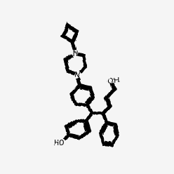 OCCCC(c1ccccc1)C(C1=CC=C(N2CCN(C3CCC3)CC2)CC1)c1ccc(O)cc1